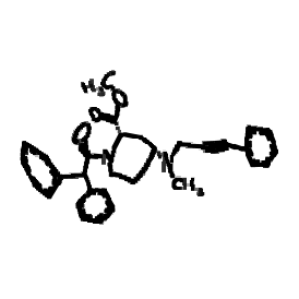 COC(=O)[C@@H]1C[C@H](N(C)CC#Cc2ccccc2)CCN1C(=O)C(c1ccccc1)c1ccccc1